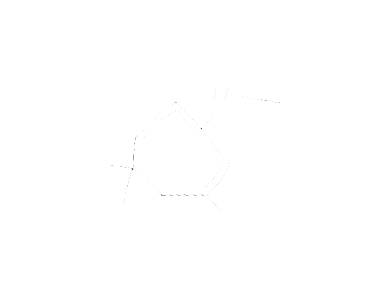 CBC1=C=CC(C)(C)CC(C)=C1